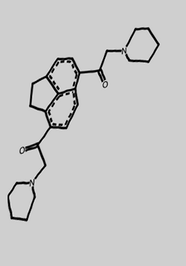 O=C(CN1CCCCC1)c1ccc2c(C(=O)CN3CCCCC3)ccc3c2c1CC3